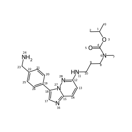 CC(C)OC(=O)N(C)CCCNc1ccc2ncc(-c3ccc(CN)cc3)n2n1